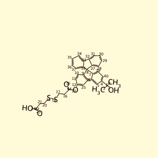 CC(C)(O)c1ccc(C2(c3ccc(OC(=O)CCSSCCC(=O)O)cc3)c3ccccc3-c3ccccc32)cc1